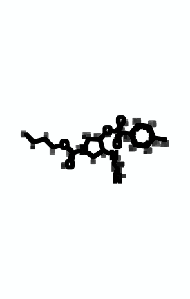 CCCCOC(=O)N1CC(N=[N+]=[N-])C(OS(=O)(=O)c2ccc(C)cc2)C1